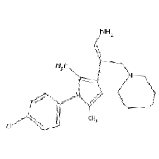 Cc1cc(/C(=C/N)CN2CCCCC2)c(C)n1-c1ccc(Cl)cc1